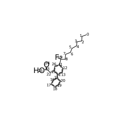 CCCCCCCCCC(F)c1ccc(-c2ccccc2)c(CC(=O)O)c1